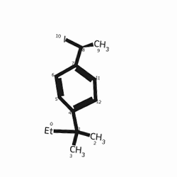 CCC(C)(C)c1ccc([C@H](C)I)cc1